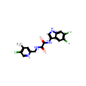 O=C(NCc1cc(C(F)(F)F)c(Cl)cn1)C(=O)Nc1c[nH]c2cc(F)c(F)cc12